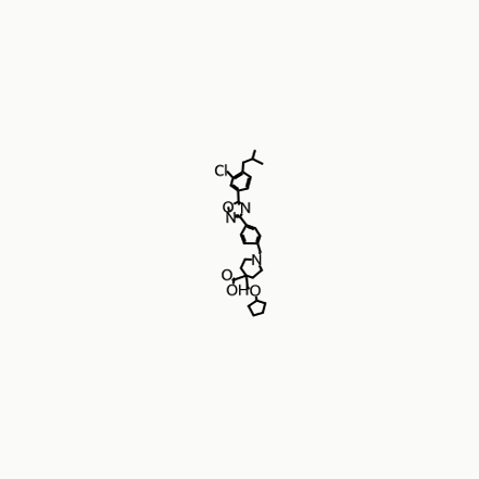 CC(C)Cc1ccc(-c2nc(-c3ccc(CN4CCC(COC5CCCC5)(C(=O)O)CC4)cc3)no2)cc1Cl